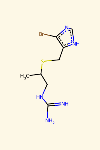 CC(CNC(=N)N)SCc1[nH]cnc1Br